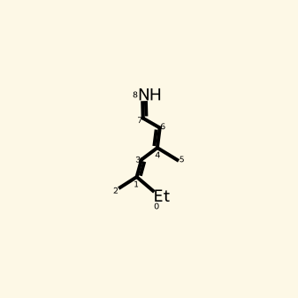 CC/C(C)=C\C(C)=C/C=N